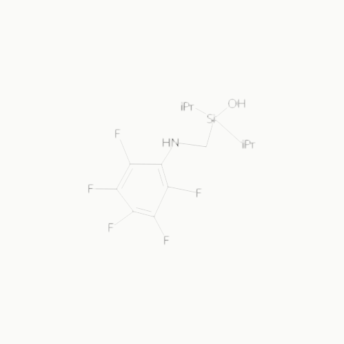 CC(C)[Si](O)(CNc1c(F)c(F)c(F)c(F)c1F)C(C)C